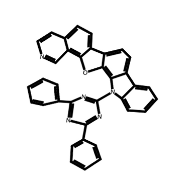 c1ccc(-c2nc(-c3ccccc3)nc(-n3c4ccccc4c4ccc5c6ccc7ccncc7c6oc5c43)n2)cc1